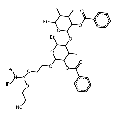 CCC1OC(OC2C(CC)OC(OCCOP(OCCC#N)N(C(C)C)C(C)C)C(OC(=O)c3ccccc3)C2C)C(OC(=O)c2ccccc2)C(C)C1C